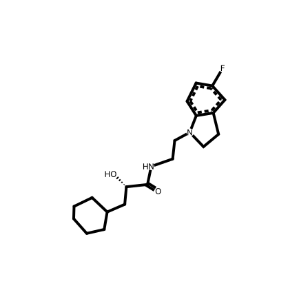 O=C(NCCN1CCc2cc(F)ccc21)[C@@H](O)CC1CCCCC1